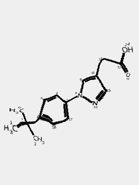 CC(C)(C)c1ccc(-n2cc(CC(=O)O)cn2)cc1